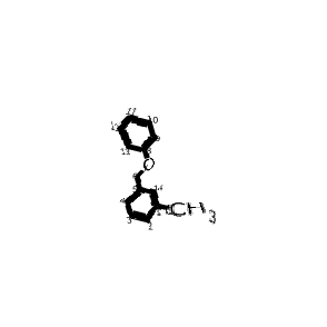 Cc1cccc(COc2cc[c]cc2)c1